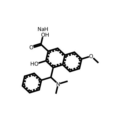 COc1ccc2c(C(c3ccccc3)N(C)C)c(O)c(C(=O)O)cc2c1.[NaH]